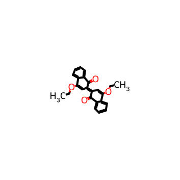 CCOC1=CC(=C2C=C(OCC)c3ccccc3C2=O)C(=O)c2ccccc21